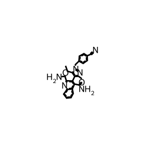 CCc1c(-c2c(C(N)=O)nc3ccccc3c2C(N)=O)c(C)nn1Cc1ccc(C#N)cc1